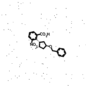 C[C@H]1C[C@H](OCc2ccccc2)C[C@H]1c1c(C(=O)O)cccc1[N+](=O)[O-]